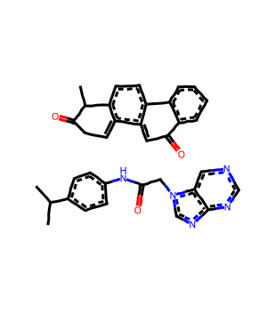 CC(C)c1ccc(NC(=O)Cn2cnc3ncncc32)cc1.CC1C(=O)CC=c2c1ccc1c2=CC(=O)c2ccccc2-1